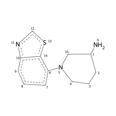 NC1CCCN(c2cccc3ncsc23)C1